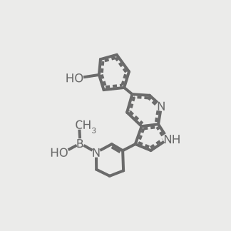 CB(O)N1C=C(c2c[nH]c3ncc(-c4cccc(O)c4)cc23)CCC1